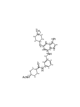 CC(=O)N[C@H]1CC[C@@H](C(=O)Nc2cccc(CNc3nc(OC4CCN(C)CC4)nc4c(C(C)C)cnn34)c2)CC1